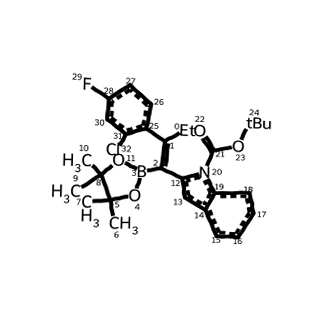 CC/C(=C(/B1OC(C)(C)C(C)(C)O1)c1cc2ccccc2n1C(=O)OC(C)(C)C)c1ccc(F)cc1Cl